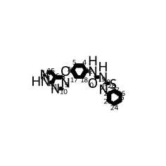 O=C(Nc1ccc(Oc2ncnc3[nH]ncc23)cc1)Nc1nc2ccccc2s1